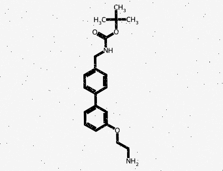 CC(C)(C)OC(=O)NCc1ccc(-c2cccc(OCCN)c2)cc1